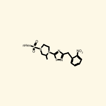 CCCCCCS(=O)(=O)N1CCN(c2nc(Cc3ccccc3[N+](=O)[O-])ns2)C(C)C1